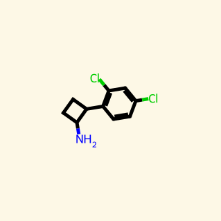 NC1CCC1c1ccc(Cl)cc1Cl